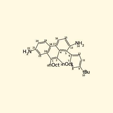 CCCCCCCCc1c(CCCCCCCC)c2c(-c3ccc(C(C)(C)C)cc3)c(N)ccc2c2ccc(N)cc12